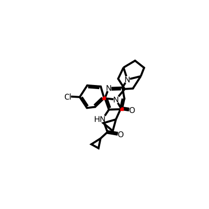 O=C(Nc1ccc(N2C3CCC2CC(N(C(=O)C2CC2)c2ccc(Cl)cc2)C3)nc1)C1CC1